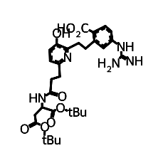 CC(C)(C)OC(=O)CC(NC(=O)CCc1ccc(O)c(CCc2cc(NC(=N)N)ccc2C(=O)O)n1)C(=O)OC(C)(C)C